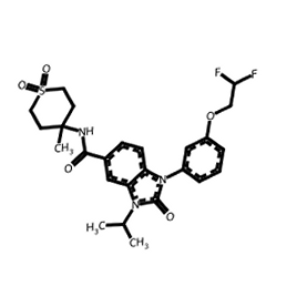 CC(C)n1c(=O)n(-c2cccc(OCC(F)F)c2)c2ccc(C(=O)NC3(C)CCS(=O)(=O)CC3)cc21